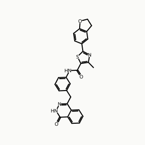 Cc1nc(-c2ccc3c(c2)CCO3)sc1C(=O)Nc1cccc(Cc2n[nH]c(=O)c3ccccc23)c1